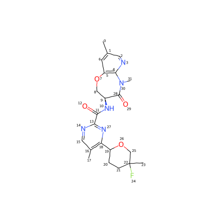 Cc1cnc2c(c1)OC[C@H](NC(=O)c1ncc(C)c(C3CCC(C)(F)CO3)n1)C(=O)N2C